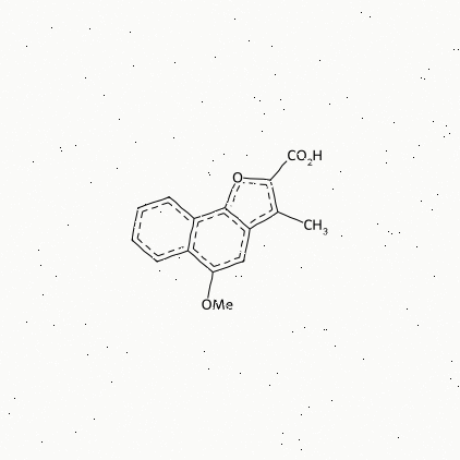 COc1cc2c(C)c(C(=O)O)oc2c2ccccc12